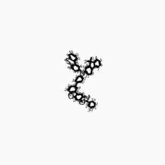 CC1(C)c2ccccc2-c2ccc(N(c3ccc(-c4ccc5oc6cc7oc(-c8ccccc8)nc7cc6c5c4)cc3)c3ccc4sc5ccccc5c4c3)cc21